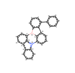 c1ccc(-c2cccc3c2-c2cccc4c2B3c2cccc3c5ccccc5n-4c23)cc1